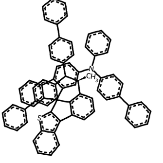 C[C@@H](c1cccc2c1C1(c3ccccc3-c3ccc(N(c4ccccc4)c4ccc(-c5ccccc5)cc4)cc31)c1sc3ccccc3c1-2)C(c1ccc(-c2ccccc2)cc1)c1ccc(-c2ccccc2)cc1